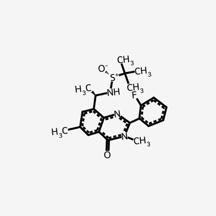 Cc1cc([C@@H](C)N[S@+]([O-])C(C)(C)C)c2nc(-c3ccccc3F)n(C)c(=O)c2c1